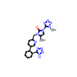 CCCCc1cn(-c2nnnn2C(C)(C)C)c(=O)n1Cc1ccc(-c2ccccc2-c2nnn[nH]2)cn1